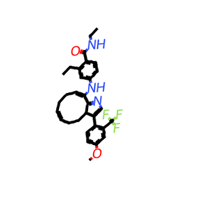 CCNC(=O)c1ccc(N/C2=C/CC/C=C\CCC3C(c4ccc(OC)cc4C(F)(F)F)=CN=C23)cc1CC